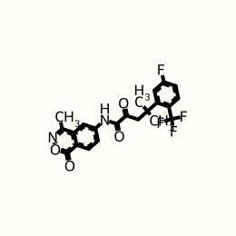 Cc1noc(=O)c2ccc(NC(=O)C(=O)CC(C)(C)c3cc(F)ccc3C(F)(F)F)cc12